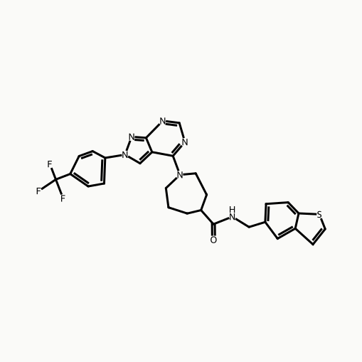 O=C(NCc1ccc2sccc2c1)C1CCCN(c2ncnc3nn(-c4ccc(C(F)(F)F)cc4)cc23)CC1